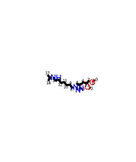 COCC(Cc1cn(CCCCCCCNC(C)C)nn1)OC